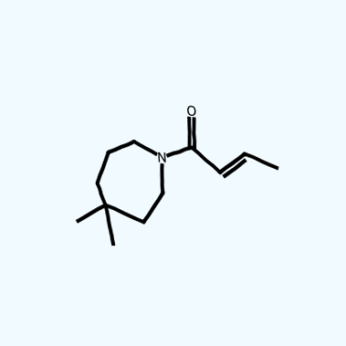 CC=CC(=O)N1CCCC(C)(C)CC1